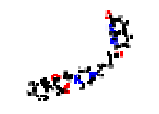 O=C1CCc2ccc(OCCCCN3CCN(C4=COC(C5=CC=CCC5)=CO4)CC3)nc2N1